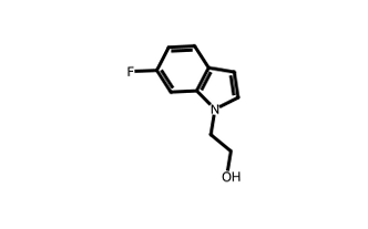 OCCn1ccc2ccc(F)cc21